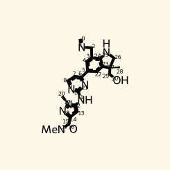 C=NCc1cc(-c2ccnc(Nc3cc(C(=O)NC)nn3C)n2)cc2c1NC[C@]2(C)CO